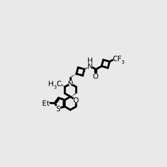 CCc1cc2c(s1)CCO[C@@]21CCN(C[C@H]2C[C@@H](NC(=O)C3CC(C(F)(F)F)C3)C2)[C@@H](C)C1